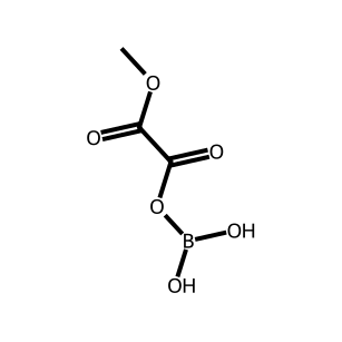 COC(=O)C(=O)OB(O)O